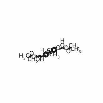 C=C(C)C(=O)OCC(O)CCc1ccc(C(C)(C)c2ccc(OCC(O)COC(=O)C(=C)C)cc2)cc1